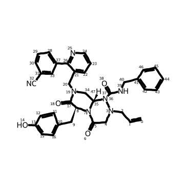 C=CCN1CC(=O)N2[C@@H](Cc3ccc(O)cc3)C(=O)N(Cc3cccnc3-c3cccc(C#N)c3)C[C@@H]2N1C(=O)NCc1ccccc1